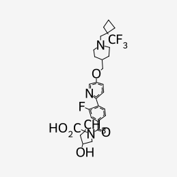 CC1(C(=O)O)CC(O)CN1C(=O)c1ccc(-c2ccc(OCC3CCN(CC4(C(F)(F)F)CCC4)CC3)cn2)c(F)c1